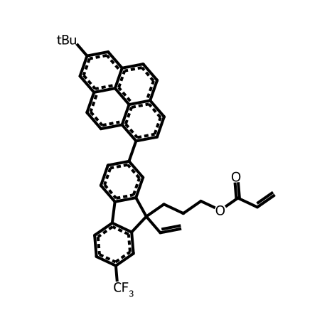 C=CC(=O)OCCCC1(C=C)c2cc(-c3ccc4ccc5cc(C(C)(C)C)cc6ccc3c4c56)ccc2-c2ccc(C(F)(F)F)cc21